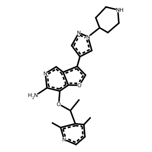 Cc1ccnc(C)c1C(C)Oc1c(N)ncc2c(-c3cnn(C4CCNCC4)c3)coc12